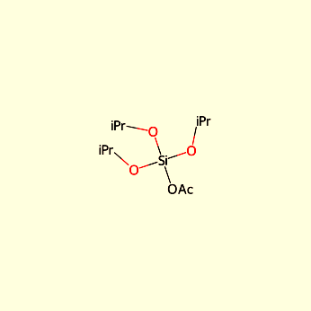 CC(=O)O[Si](OC(C)C)(OC(C)C)OC(C)C